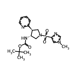 Cn1cnc(S(=O)(=O)N2C[C@H](NC(=O)OC(C)(C)C)[C@@H](c3ccccn3)C2)c1